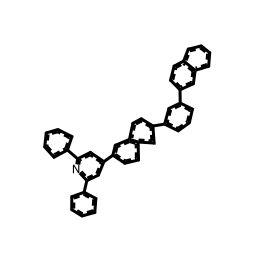 c1ccc(-c2cc(-c3ccc4cc(-c5cccc(-c6ccc7ccccc7c6)c5)ccc4c3)cc(-c3ccccc3)n2)cc1